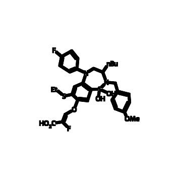 CCCCC1CN(c2ccc(F)cc2)c2cc(SCC)c(O/C=C(\F)C(=O)O)cc2S(O)(O)N1Cc1ccc(OC)cc1